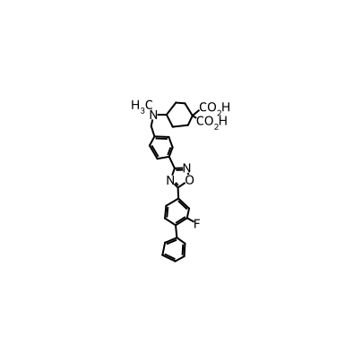 CN(Cc1ccc(-c2noc(-c3ccc(-c4ccccc4)c(F)c3)n2)cc1)C1CCC(C(=O)O)(C(=O)O)CC1